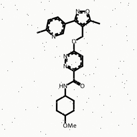 COC1CCC(NC(=O)c2ccc(OCc3c(-c4ccc(C)nc4)noc3C)nn2)CC1